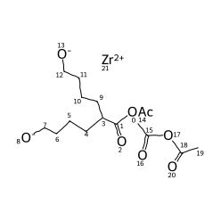 CC(=O)OC(=O)C(CCCC[O-])CCCC[O-].CC(=O)OC(C)=O.[Zr+2]